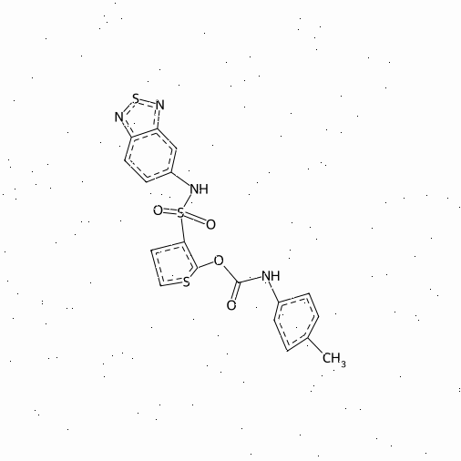 Cc1ccc(NC(=O)Oc2sccc2S(=O)(=O)Nc2ccc3nsnc3c2)cc1